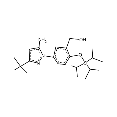 CC(C)[Si](Oc1ccc(-n2nc(C(C)(C)C)cc2N)cc1CO)(C(C)C)C(C)C